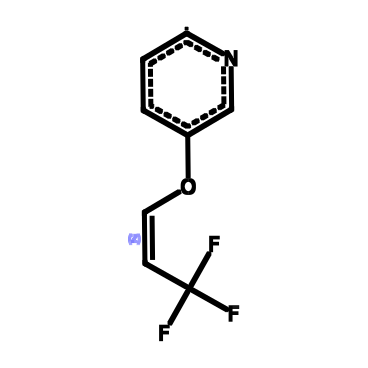 FC(F)(F)/C=C\Oc1cc[c]nc1